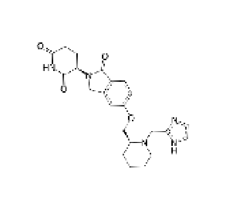 O=C1CC[C@@H](N2Cc3cc(OC[C@@H]4CCCCN4Cc4ncc[nH]4)ccc3C2=O)C(=O)N1